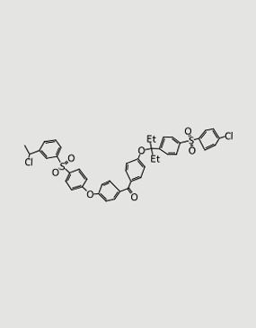 CCC(CC)(Oc1ccc(C(=O)c2ccc(Oc3ccc(S(=O)(=O)c4cccc(C(C)Cl)c4)cc3)cc2)cc1)c1ccc(S(=O)(=O)c2ccc(Cl)cc2)cc1